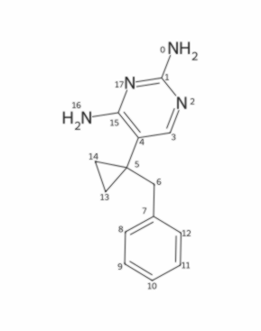 Nc1ncc(C2(Cc3ccccc3)CC2)c(N)n1